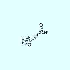 CC(C)C(C#N)(CCCN1CCN(CCOc2ccc(F)cc2OCc2ccccc2)CC1)c1ccccc1